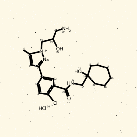 Cc1cc(-c2ccc(Cl)c(C(=O)NCC3(O)CCCCCC3)c2)nn1CC(O)CN.Cl